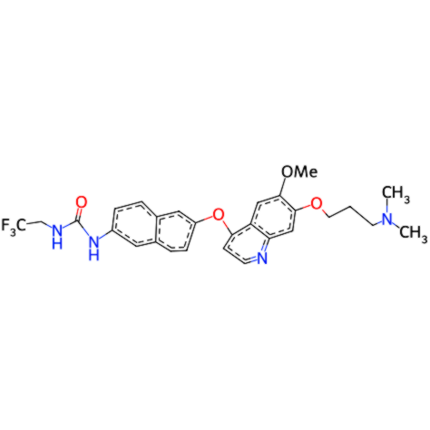 COc1cc2c(Oc3ccc4cc(NC(=O)NCC(F)(F)F)ccc4c3)ccnc2cc1OCCCN(C)C